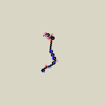 O=C(/C=C/c1cccnc1)NCCCCC1CCN(C(=O)c2ccc(N3CCC(N4CCN(CCCCCCCCOc5cccc6c5C(=O)N(C5CCC(=O)NC5=O)C6=O)CC4)CC3)nc2)CC1